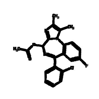 CC(=O)OC1N=C(c2ccccc2Cl)c2cc(F)ccc2-n2c1nc(C)c2C